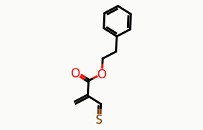 C=C(C=S)C(=O)OCCc1ccccc1